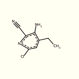 CCc1cc(Cl)nc(C#N)c1N